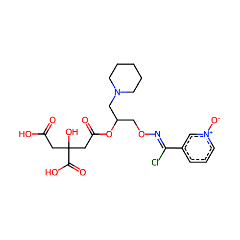 O=C(O)CC(O)(CC(=O)OC(CON=C(Cl)c1ccc[n+]([O-])c1)CN1CCCCC1)C(=O)O